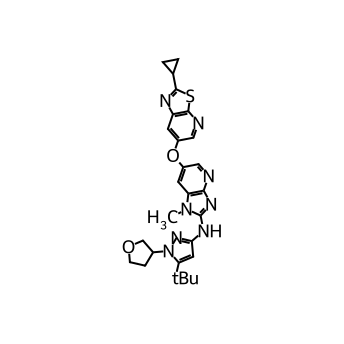 Cn1c(Nc2cc(C(C)(C)C)n(C3CCOC3)n2)nc2ncc(Oc3cnc4sc(C5CC5)nc4c3)cc21